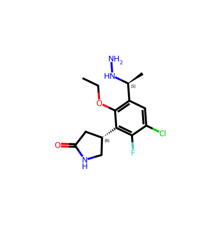 CCOc1c([C@H](C)NN)cc(Cl)c(F)c1[C@@H]1CNC(=O)C1